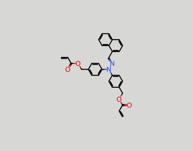 C=CC(=O)OCc1ccc(N(N=Cc2cccc3ccccc23)c2ccc(COC(=O)C=C)cc2)cc1